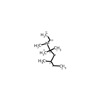 CCC(C)CC(C)(C)N(C)CC